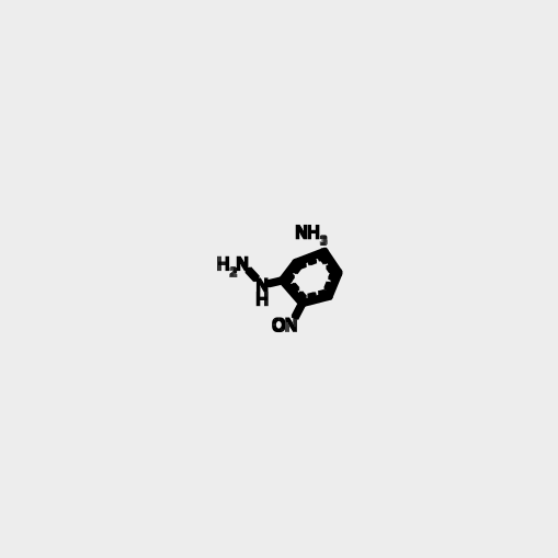 N.NNc1ccccc1N=O